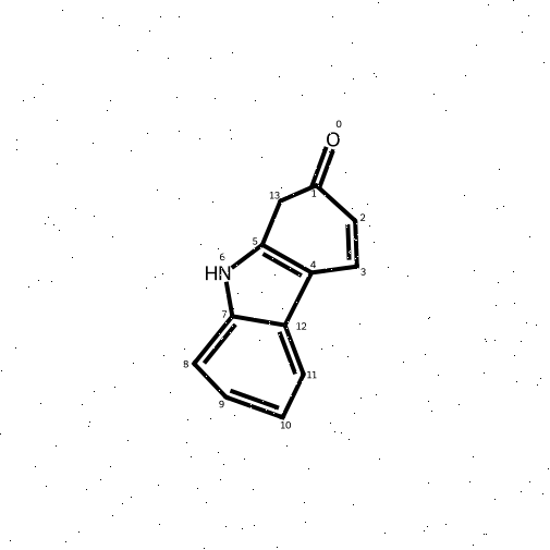 O=C1C=Cc2c([nH]c3ccccc23)C1